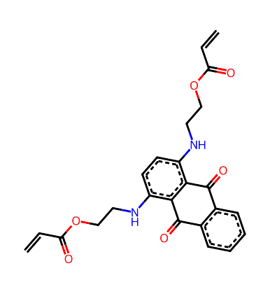 C=CC(=O)OCCNc1ccc(NCCOC(=O)C=C)c2c1C(=O)c1ccccc1C2=O